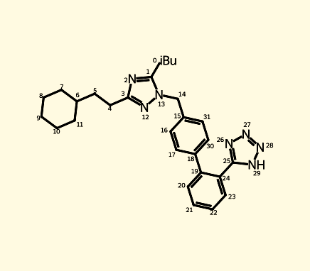 CCC(C)c1nc(CCC2CCCCC2)nn1Cc1ccc(-c2ccccc2-c2nnn[nH]2)cc1